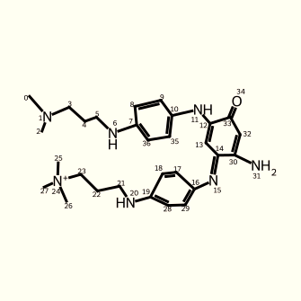 CN(C)CCCNc1ccc(NC2=C/C(=N\c3ccc(NCCC[N+](C)(C)C)cc3)C(N)=CC2=O)cc1